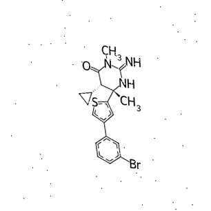 CN1C(=N)N[C@](C)(c2cc(-c3cccc(Br)c3)cs2)[C@H](C2CC2)C1=O